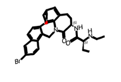 CCN[C@@H](CC)C(=O)N[C@H]1CCc2ccccc2N(Cc2c(OC)ccc3cc(Br)ccc23)C1=O